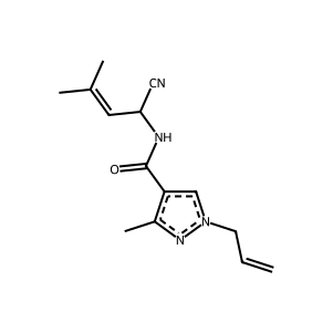 C=CCn1cc(C(=O)NC(C#N)C=C(C)C)c(C)n1